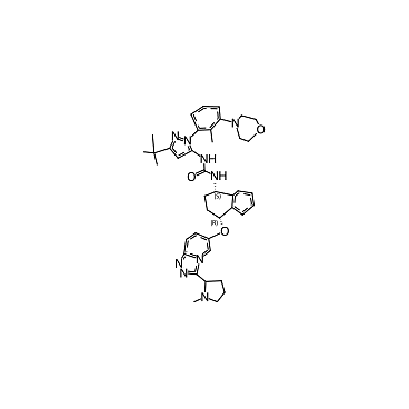 Cc1c(N2CCOCC2)cccc1-n1nc(C(C)(C)C)cc1NC(=O)N[C@H]1CC[C@@H](Oc2ccc3nnc(C4CCCN4C)n3c2)c2ccccc21